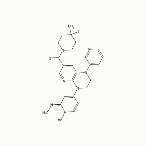 C/N=c1/cc(N2CCN(c3cccnc3)c3cc(C(=O)N4CCC(C)(F)CC4)cnc32)ccn1C(C)=O